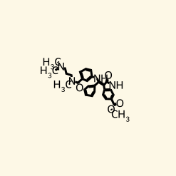 COC(=O)c1ccc2c(c1)NC(=O)/C2=C(\Nc1cccc(C(=O)N(C)CCCN(C)C)c1)c1ccccc1